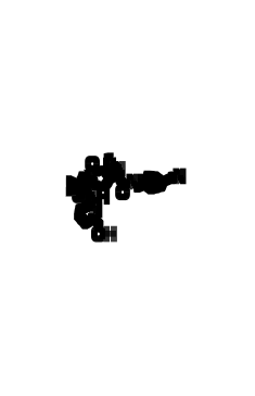 Cn1nc(C(=O)NCc2ccc(C#N)cc2)c2c1C(=O)N(CC1(S(=O)(=O)Nc3cccc(CO)n3)CC1)CC2